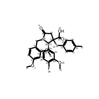 COc1ccc(CN2C(=O)CC(Sc3ccc(C)cc3)(C(=O)O)[C@H]2c2ccc(F)c(OC)c2)c(OC)c1